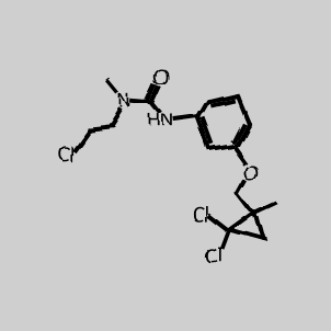 CN(CCCl)C(=O)Nc1cccc(OCC2(C)CC2(Cl)Cl)c1